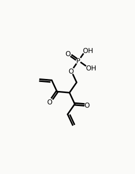 C=CC(=O)C(COP(=O)(O)O)C(=O)C=C